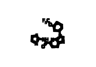 O=C(Nc1nccs1)c1ccc2ncn(-c3cccc(OC(F)(F)F)c3)c2n1